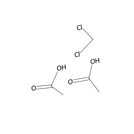 CC(=O)O.CC(=O)O.ClCCl